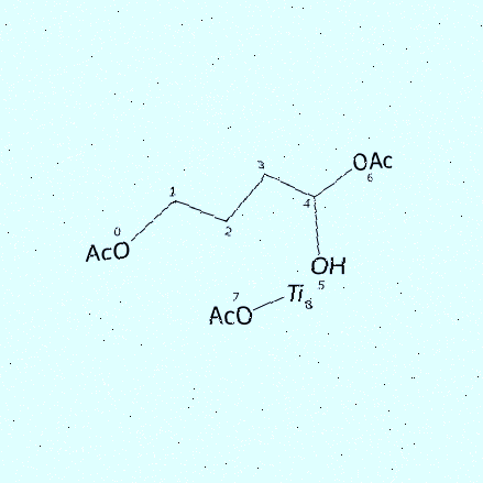 CC(=O)OCCCC(O)OC(C)=O.CC(=O)[O][Ti]